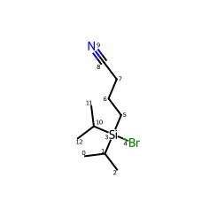 CC(C)[Si](Br)(CCCC#N)C(C)C